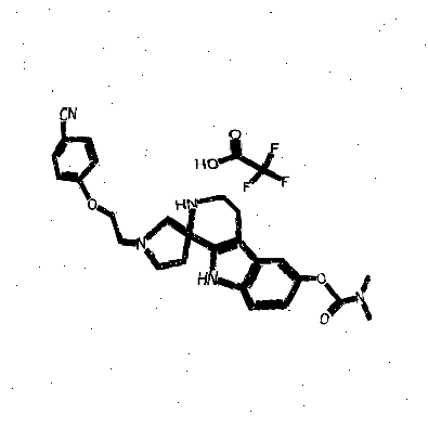 CN(C)C(=O)Oc1ccc2[nH]c3c(c2c1)CCNC31CCN(CCOc2ccc(C#N)cc2)C1.O=C(O)C(F)(F)F